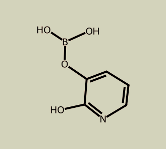 OB(O)Oc1cccnc1O